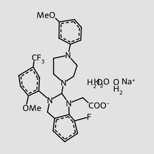 COc1cccc(N2CCN(C3N(c4cc(C(F)(F)F)ccc4OC)Cc4cccc(F)c4N3CC(=O)[O-])CC2)c1.O.O.O.[Na+]